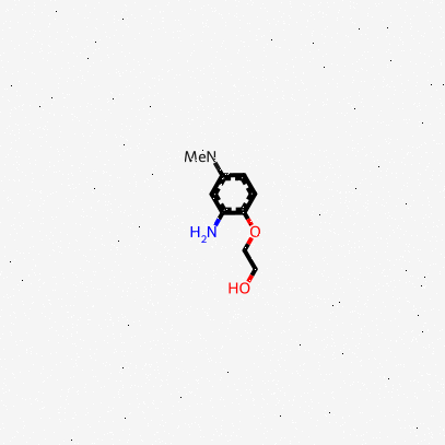 CNc1ccc(OCCO)c(N)c1